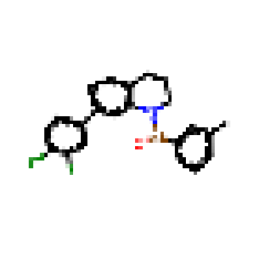 Cc1cccc([S+]([O-])N2CCCc3ccc(-c4ccc(F)c(F)c4)cc32)c1